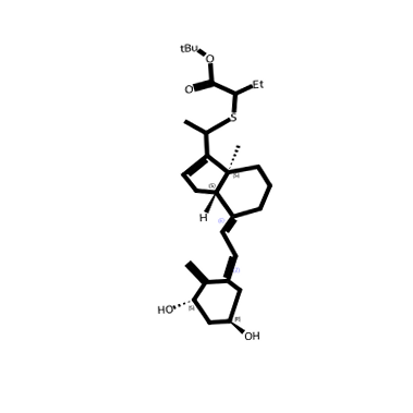 C=C1/C(=C\C=C2/CCC[C@]3(C)C(C(C)SC(CC)C(=O)OC(C)(C)C)=CC[C@@H]23)C[C@@H](O)C[C@@H]1O